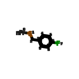 [CH2]CCSCc1ccc(F)cc1